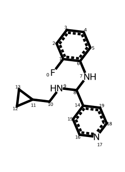 Fc1ccccc1NC(NCC1CC1)c1ccncc1